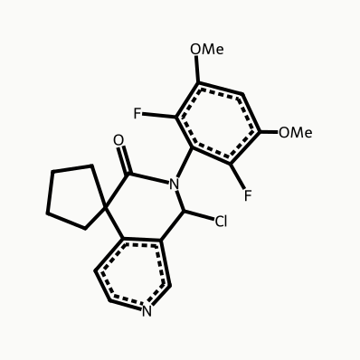 COc1cc(OC)c(F)c(N2C(=O)C3(CCCC3)c3ccncc3C2Cl)c1F